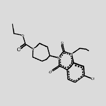 CCOC(=O)N1CCC(n2c(=O)c3ccc(Cl)cc3n(CC)c2=O)CC1